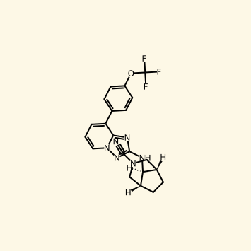 N#CN1C[C@H]2CC[C@@H](C1)[C@@H]2Nc1nc2c(-c3ccc(OC(F)(F)F)cc3)cccn2n1